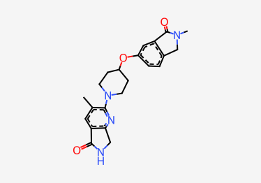 Cc1cc2c(nc1N1CCC(Oc3ccc4c(c3)C(=O)N(C)C4)CC1)CNC2=O